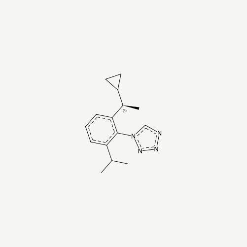 CC(C)c1cccc([C@H](C)C2CC2)c1-n1cnnn1